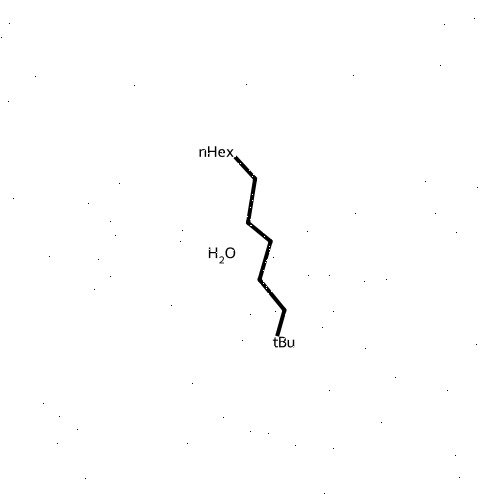 CCCCCCCCCCCC(C)(C)C.O